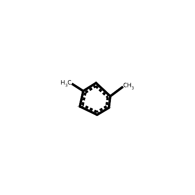 Cc1[c]c[c]c(C)[c]1